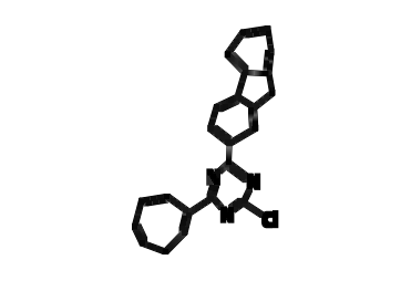 Clc1nc(C2=CCC=CC=C2)nc(-c2ccc3c(c2)Cc2ccccc2-3)n1